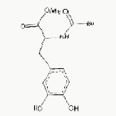 CCC(C)C(=O)NC(Cc1ccc(O)c(O)c1)C(=O)OC